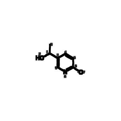 CC(O)c1ccc([O])nc1